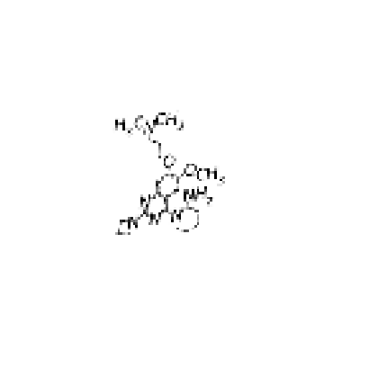 COc1cc2c(N3CCCCC3N)nc(N3CCC3)nc2cc1OCCCN(C)C